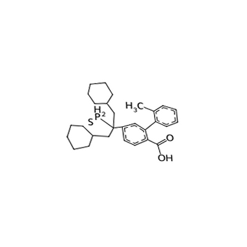 Cc1ccccc1-c1cc(C(CC2CCCCC2)(CC2CCCCC2)[PH2]=S)ccc1C(=O)O